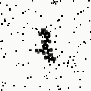 CN[C@@H](C)C(=O)NCC(=O)N1C[C@@H](NC(=O)c2cccc(C(N)=O)c2)C[C@H]1C(N)=O